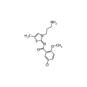 COc1ccc(Cl)cc1C(=O)N=c1sc(C)cn1CCCN